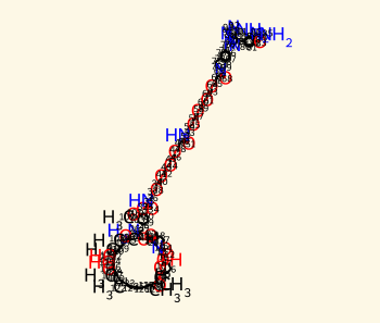 CO[C@H]1C[C@@H]2CCC[C@@](O)(O2)C(=O)C(=O)N2CCCC[C@H]2C(=O)O[C@H]([C@H](N)C[C@@H]2CC[C@@H](OC(=O)NCCOCCOCCOCCOCCC(=O)NCCOCCOCCOCCOCCC(=O)N3CCc4cc(Cn5nc(-c6ccc7oc(N)nc7c6)c6c(N)ncnc65)ccc4C3)[C@H](OC)C2)CC(=O)[C@H](C)/C=C(\C)[C@@H](O)[C@@H](O)C(=O)[C@H](C)C[C@H](C)/C=C/C=C/C=C/1C